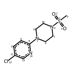 CS(=O)(=O)N1CCN(c2ccc(Cl)cn2)CC1